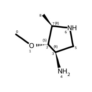 CO[C@H]1[C@H](N)CN[C@@H]1C